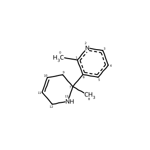 Cc1ncccc1C1(C)CC=CCN1